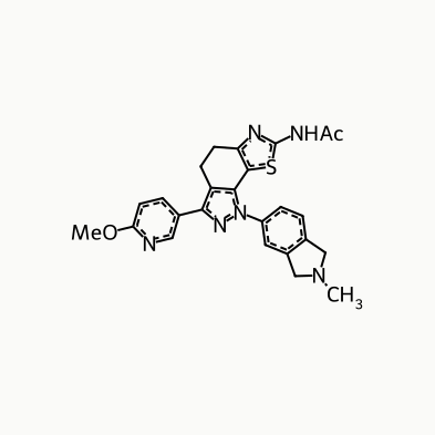 COc1ccc(-c2nn(-c3ccc4c(c3)CN(C)C4)c3c2CCc2nc(NC(C)=O)sc2-3)cn1